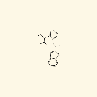 CCC(c1ccccc1CC(C)c1cc2ccccc2s1)C(C)C